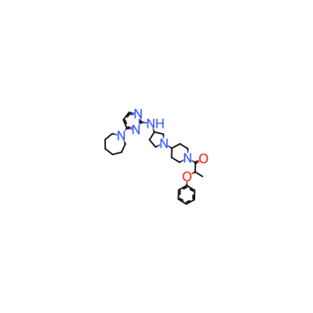 CC(Oc1ccccc1)C(=O)N1CCC(N2CCC(Nc3nccc(N4CCCCCC4)n3)C2)CC1